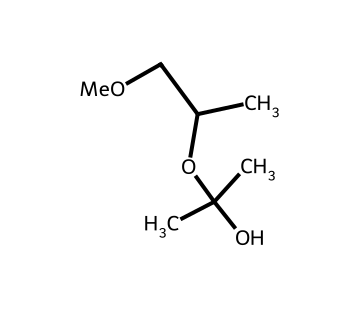 COCC(C)OC(C)(C)O